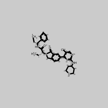 CC[C@H](C(=O)N[C@H](CC)c1ccccc1)N1Cc2ccc(-c3nc(NC4CCOCC4)ncc3Cl)cc2C1=O